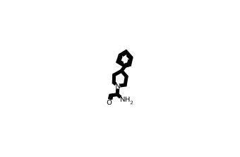 NC(C=O)N1CCC(c2ccccc2)CC1